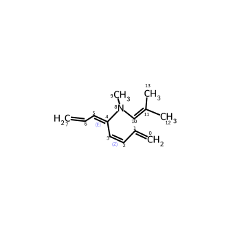 C=C/C=C\C(=C/C=C)N(C)C=C(C)C